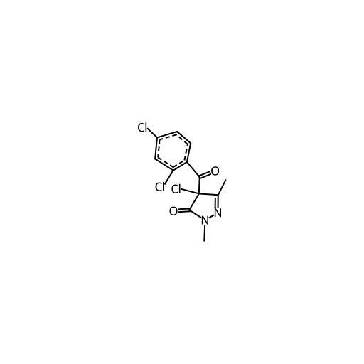 CC1=NN(C)C(=O)C1(Cl)C(=O)c1ccc(Cl)cc1Cl